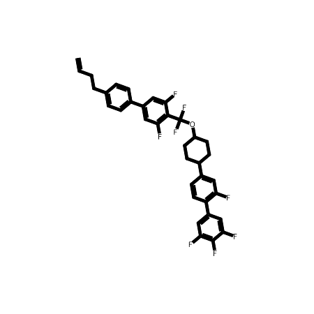 C=CCCc1ccc(-c2cc(F)c(C(F)(F)OC3CCC(c4ccc(-c5cc(F)c(F)c(F)c5)c(F)c4)CC3)c(F)c2)cc1